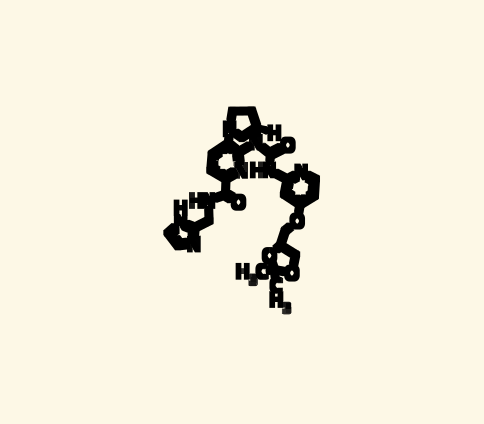 CC1(C)OCC(COc2ccnc(NC(=O)N3c4nc(C(=O)NCc5ncc[nH]5)ccc4N4CC[C@H]3C4)c2)O1